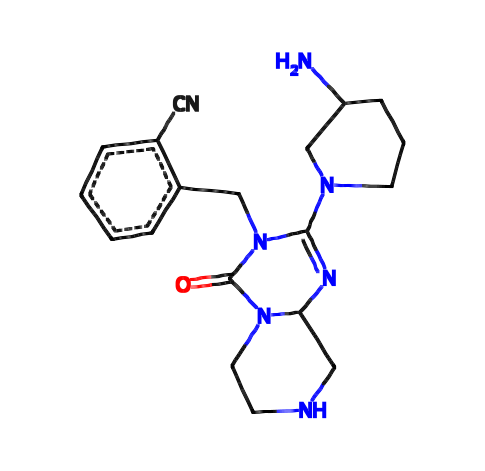 N#Cc1ccccc1CN1C(=O)N2CCNCC2N=C1N1CCCC(N)C1